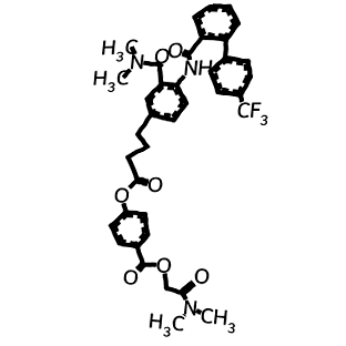 CN(C)C(=O)COC(=O)c1ccc(OC(=O)CCCc2ccc(NC(=O)c3ccccc3-c3ccc(C(F)(F)F)cc3)c(C(=O)N(C)C)c2)cc1